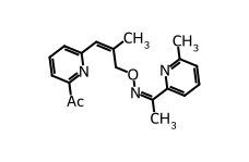 CC(=O)c1cccc(C=C(C)CON=C(C)c2cccc(C)n2)n1